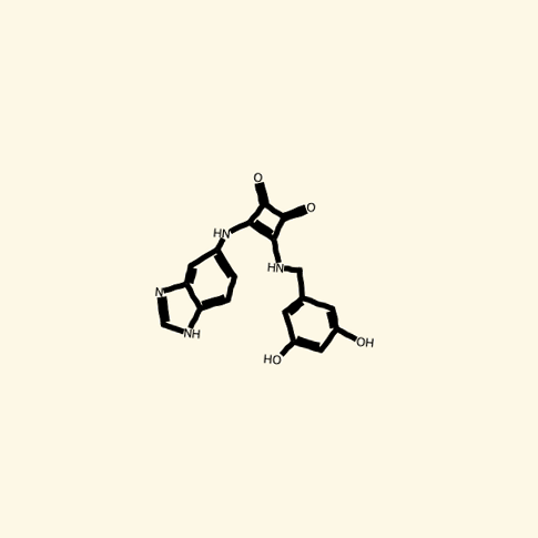 O=c1c(NCc2cc(O)cc(O)c2)c(Nc2ccc3[nH]cnc3c2)c1=O